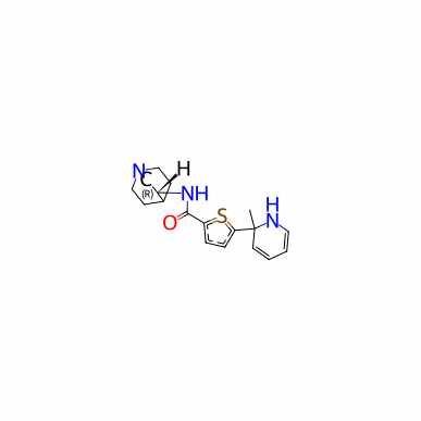 CC1(c2ccc(C(=O)N[C@H]3CN4CCC3CC4)s2)C=CC=CN1